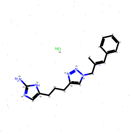 C/C(=C\c1ccccc1)Cn1cc(CCCc2cnc(N)[nH]2)nn1.Cl